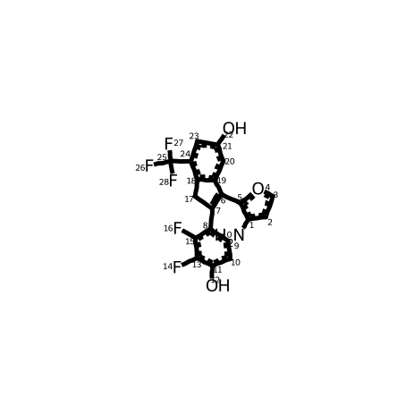 Nc1ccoc1C1=C(c2ccc(O)c(F)c2F)Cc2c1cc(O)cc2C(F)(F)F